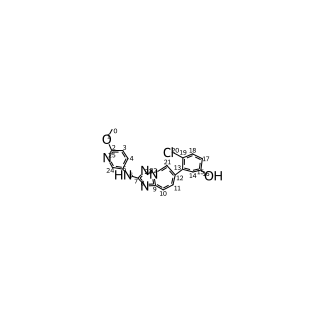 COc1ccc(Nc2nc3ccc(-c4cc(O)ccc4Cl)cn3n2)cn1